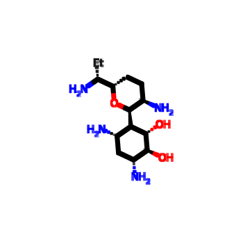 CC[C@@H](N)[C@@H]1CC[C@@H](N)[C@@H](C2[C@@H](N)C[C@@H](N)[C@H](O)[C@H]2O)O1